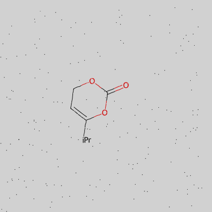 CC(C)C1=CCOC(=O)O1